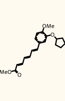 COC(=O)C=CC=CC=Cc1ccc(OC)c(OC2CCCC2)c1